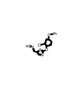 CC(C)Oc1ccc(Oc2ncc(C=NO)s2)c(Cl)c1